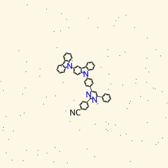 N#Cc1ccc(-c2nc(-c3ccccc3)cc(-c3ccc(-n4c5ccccc5c5cc(-n6c7ccccc7c7ccccc76)ccc54)cc3)n2)cc1